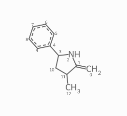 C=C1NC(c2ccccc2)CC1C